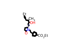 CCC#CC[C@H](C)[C@@H](O)/C=C/[C@H]1CCC(=O)N1CCc1ccc(C(=O)OCC)cc1